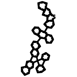 c1ccc2c(c1)-c1ccccc1C21c2cc3ccccc3cc2-c2cc3ccc(-c4c5ccccc5c(-c5ccc6sc7cc8ccccc8cc7c6c5)c5ccccc45)cc3cc21